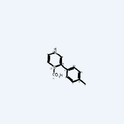 Cc1ccc(C2=CNC=CN2C(=O)O)cc1